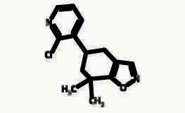 CC1(C)CC(c2cccnc2Cl)Cc2cnoc21